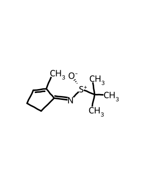 CC1=CCC/C1=N/[S@+]([O-])C(C)(C)C